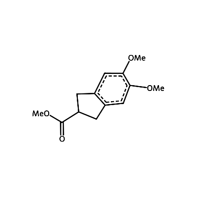 COC(=O)C1Cc2cc(OC)c(OC)cc2C1